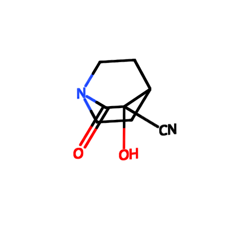 N#CC1(O)C(=O)N2CCC1CC2